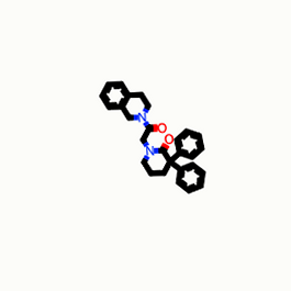 O=C(CN1CCCC(c2ccccc2)(c2ccccc2)C1=O)N1CCc2ccccc2C1